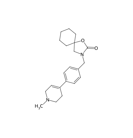 CN1CC=C(c2ccc(CN3CC4(CCCCC4)OC3=O)cc2)CC1